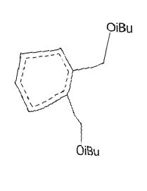 CC(C)COCc1ccccc1COCC(C)C